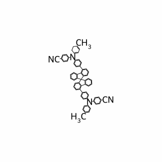 CC1=CC=C(N(c2ccc(C#N)cc2)c2ccc(-c3cccc4c3-c3ccccc3C43c4ccccc4-c4c(-c5ccc(N(c6ccc(C)cc6)c6ccc(C#N)cc6)cc5)cccc43)cc2)CC1